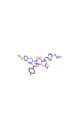 CCOc1ccc(CC(NC(=O)c2ccc(C)cc2)C(=O)NC(Cc2cscn2)C(=O)NCc2ccc(CN)cc2)cc1